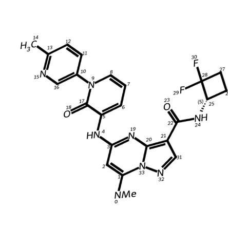 CNc1cc(Nc2cccn(-c3ccc(C)nc3)c2=O)nc2c(C(=O)N[C@H]3CCC3(F)F)cnn12